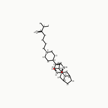 CC(C)C(=O)CCCCN1CCC(c2cnc(N3C4CCC3CN(C(C)C)C4)nc2)CC1